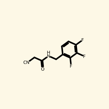 [C-]#[N+]CC(=O)NCc1ccc(F)c(F)c1F